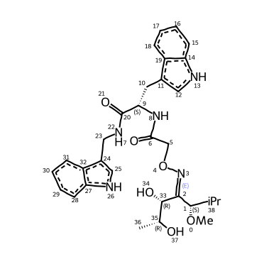 CO[C@H](/C(=N/OCC(=O)N[C@@H](Cc1c[nH]c2ccccc12)C(=O)NCc1c[nH]c2ccccc12)[C@@H](O)[C@@H](C)O)C(C)C